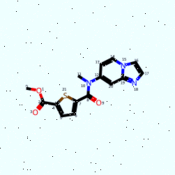 COC(=O)c1ccc(C(=O)N(C)c2ccn3ccnc3c2)s1